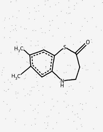 Cc1cc2c(cc1C)SC(=O)CCN2